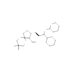 CC1(C)COC2(CC[C@@H](C=CC(OC3CCCCO3)C3CCCCC3)C2CC=O)OC1